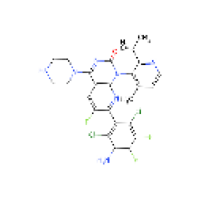 Cc1ccnc(C(C)C)c1-n1c(=O)nc(N2CCNCC2)c2cc(F)c(-c3c(Cl)c(N)c(F)c(F)c3Cl)nc21